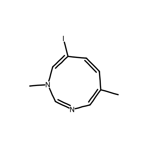 Cc1ccc(I)cn(C)cnc1